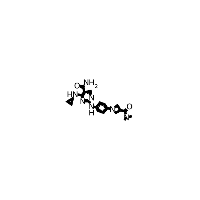 CN(C)C(=O)C1CN(c2ccc(Nc3ncc(C(N)=O)c(NC4CC4)n3)cc2)C1